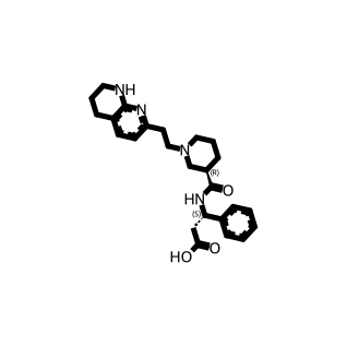 O=C(O)C[C@H](NC(=O)[C@@H]1CCCN(CCc2ccc3c(n2)NCCC3)C1)c1ccccc1